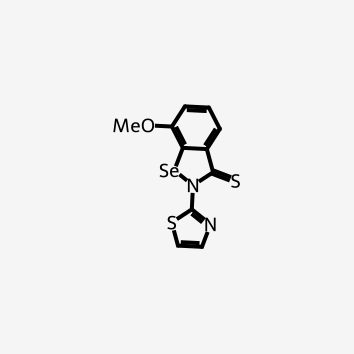 COc1cccc2c(=S)n(-c3nccs3)[se]c12